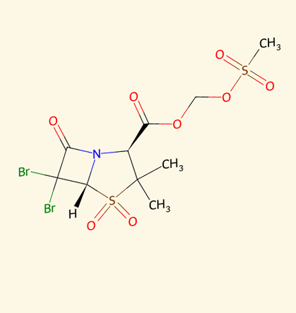 CC1(C)[C@H](C(=O)OCOS(C)(=O)=O)N2C(=O)C(Br)(Br)[C@H]2S1(=O)=O